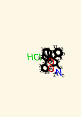 CN(C)CC1CC(c2ccccc2)(C23CC4CC(CC(C5CCCC5)(C4)C2)C3)OC1=O.Cl